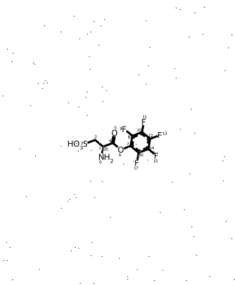 N[C@@H](CS(=O)(=O)O)C(=O)Oc1c(F)c(F)c(F)c(F)c1F